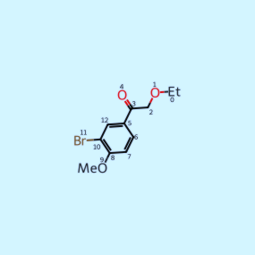 CCOCC(=O)c1ccc(OC)c(Br)c1